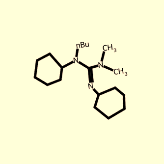 CCCCN(C(=NC1CCCCC1)N(C)C)C1CCCCC1